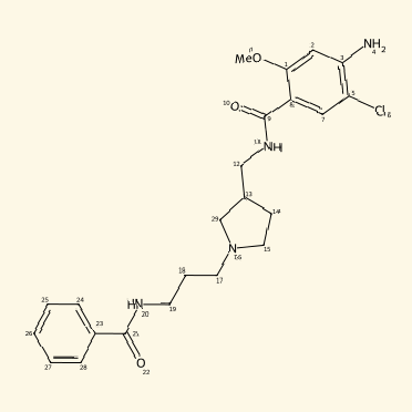 COc1cc(N)c(Cl)cc1C(=O)NCC1CCN(CCCNC(=O)c2ccccc2)C1